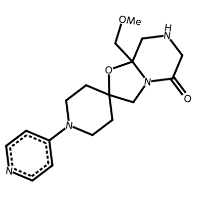 COCC12CNCC(=O)N1CC1(CCN(c3ccncc3)CC1)O2